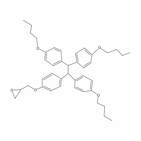 CCCCOc1ccc(C(c2ccc(OCCCC)cc2)C(c2ccc(OCCCC)cc2)c2ccc(OCC3CO3)cc2)cc1